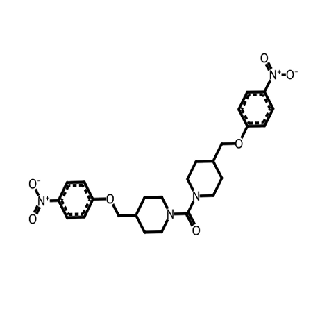 O=C(N1CCC(COc2ccc([N+](=O)[O-])cc2)CC1)N1CCC(COc2ccc([N+](=O)[O-])cc2)CC1